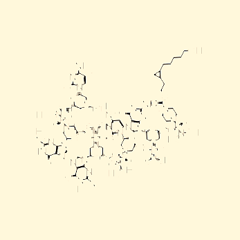 CC(C)N1C[C@@H](COP(=O)(N(C)C)N2CC(n3cnc4c(=O)[nH]c(N)nc43)O[C@H](COP(=O)(N(C)C)N3CC(n4cnc5c(=O)[nH]c(N)nc54)O[C@H](COP(=O)(N(C)C)N4C[C@@H](COP(=O)(N(C)C)N5C[C@@H](COP(=O)(N(C)C)N6CCN(C(=O)OCCC7CC7CCCCCO)CC6)O[C@@H](n6cnc7c(=O)[nH]c(N)nc76)C5)O[C@@H](n5ccc(N)nc5=O)C4)C3)C2)O[C@@H](n2ccc(N)nc2=O)C1